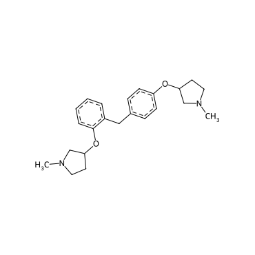 CN1CCC(Oc2ccc(Cc3ccccc3OC3CCN(C)C3)cc2)C1